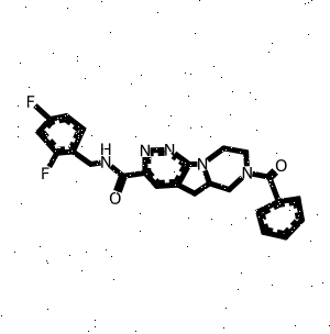 O=C(NCc1ccc(F)cc1F)c1cc2c(nn1)N1CCN(C(=O)c3ccccc3)CC1C2